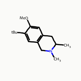 COc1cc2c(cc1C(C)(C)C)CN(C)C(C)C2